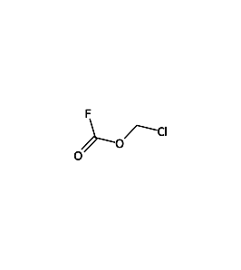 O=C(F)OCCl